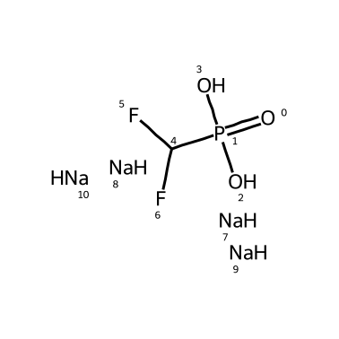 O=P(O)(O)C(F)F.[NaH].[NaH].[NaH].[NaH]